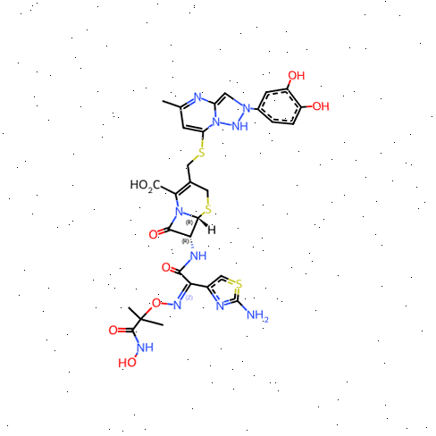 CC1=NC2=CN(c3ccc(O)c(O)c3)NN2C(SCC2=C(C(=O)O)N3C(=O)[C@@H](NC(=O)/C(=N\OC(C)(C)C(=O)NO)c4csc(N)n4)[C@H]3SC2)=C1